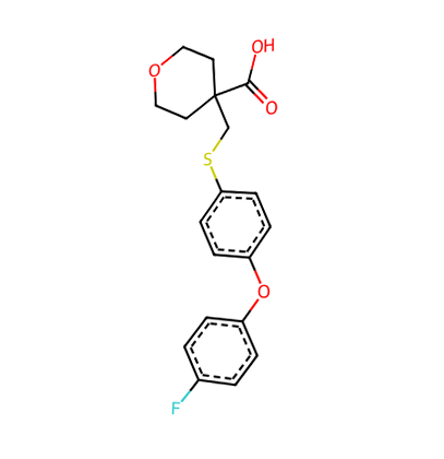 O=C(O)C1(CSc2ccc(Oc3ccc(F)cc3)cc2)CCOCC1